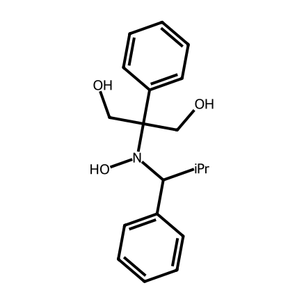 CC(C)C(c1ccccc1)N(O)C(CO)(CO)c1ccccc1